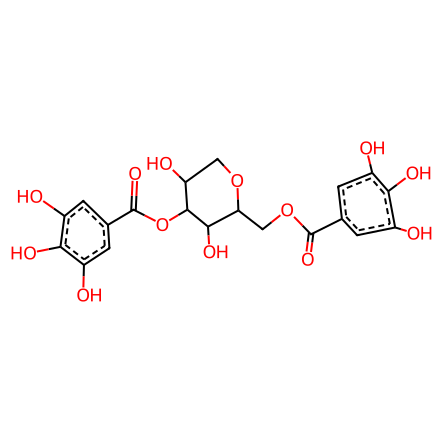 O=C(OCC1OCC(O)C(OC(=O)c2cc(O)c(O)c(O)c2)C1O)c1cc(O)c(O)c(O)c1